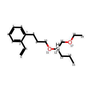 C=Cc1ccccc1CCCO[SiH](CCC)COCC